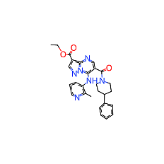 CCOC(=O)c1cnn2c(Nc3cccnc3C)c(C(=O)N3CCC(c4ccccc4)CC3)cnc12